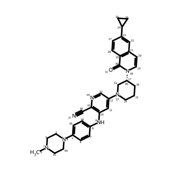 CN1CCN(c2ccc(Nc3cc(N4CCC[C@@H](n5ccc6cc(C7CC7)ccc6c5=O)C4)cnc3C#N)cc2)CC1